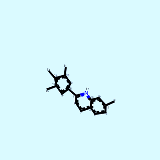 Cc1ccc2ccc(-c3cc(C)c(C)c(C)c3)nc2c1